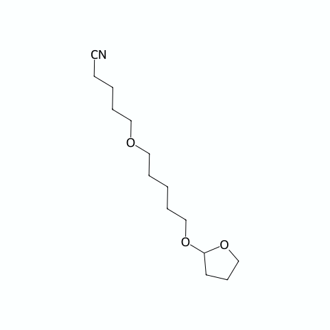 N#CCCCCOCCCCCOC1CCCO1